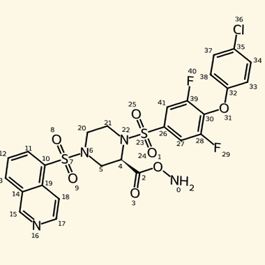 NOC(=O)[C@H]1CN(S(=O)(=O)c2cccc3cnccc23)CCN1S(=O)(=O)c1cc(F)c(Oc2ccc(Cl)cc2)c(F)c1